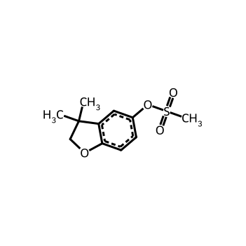 CC1(C)COc2ccc(OS(C)(=O)=O)cc21